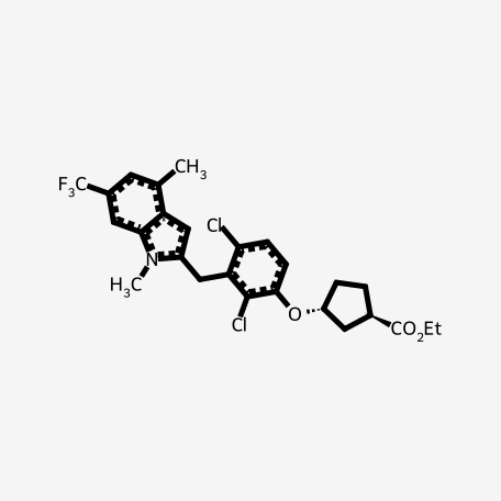 CCOC(=O)[C@@H]1CC[C@@H](Oc2ccc(Cl)c(Cc3cc4c(C)cc(C(F)(F)F)cc4n3C)c2Cl)C1